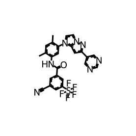 Cc1cc(C)c(-n2ccn3nc(-c4cncnc4)cc23)cc1NC(=O)c1cc(C#N)cc(S(F)(F)(F)(F)F)c1